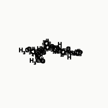 COc1ccc(-n2nc(C3(C)COC3)cc2NC(=O)Nc2ccc(Oc3ccnc(Nc4cccc(C(=O)NCCN5CCOCC5)c4)n3)c3ccccc23)cc1